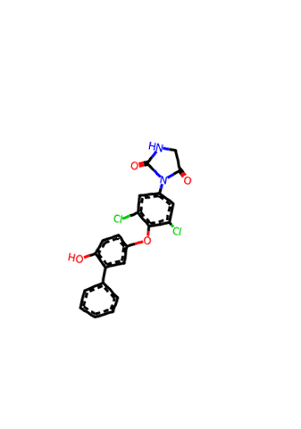 O=C1CNC(=O)N1c1cc(Cl)c(Oc2ccc(O)c(-c3ccccc3)c2)c(Cl)c1